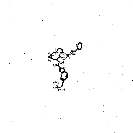 O=C(N[C@H]1C[C@H]2C[C@H]2C[C@H]2CC[C@@H](C(=O)N3CC(c4ccccn4)C3)N2C1=O)c1cc2cc(CP(=O)(O)O)ccc2s1